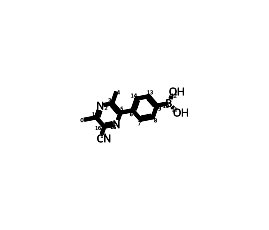 Cc1nc(C)c(-c2ccc(B(O)O)cc2)nc1C#N